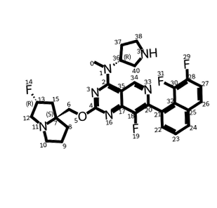 CN(c1nc(OC[C@@]23CCCN2C[C@H](F)C3)nc2c(F)c(-c3cccc4ccc(F)c(F)c34)ncc12)[C@@H]1CCNC1